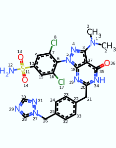 CN(C)c1nn(-c2c(Cl)cc(S(N)(=O)=O)cc2Cl)c2nc(Cc3ccc(Cn4cncn4)cc3)[nH]c(=O)c12